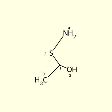 CC(O)SN